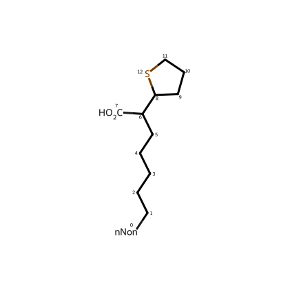 CCCCCCCCCCCCCCC(C(=O)O)C1CCCS1